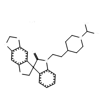 CC(C)N1CCC(CCN2C(=O)C3(COc4cc5c(cc43)OCO5)c3ccccc32)CC1.Cl